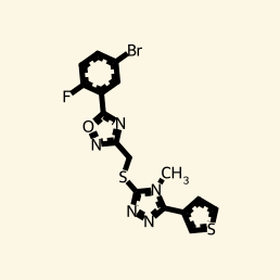 Cn1c(SCc2noc(-c3cc(Br)ccc3F)n2)nnc1-c1ccsc1